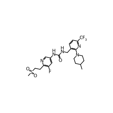 CC1CCN(c2nc(C(F)(F)F)ccc2CNC(=O)Nc2cnc(CCS(C)(=O)=O)c(F)c2)CC1